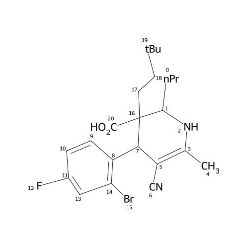 CCCC1NC(C)=C(C#N)C(c2ccc(F)cc2Br)C1(CCC(C)(C)C)C(=O)O